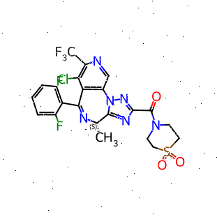 C[C@@H]1N=C(c2c(F)cccc2F)c2c(cnc(C(F)(F)F)c2Cl)-n2nc(C(=O)N3CCS(=O)(=O)CC3)nc21